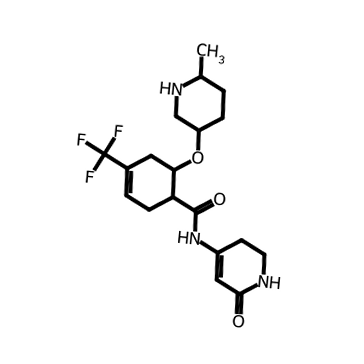 CC1CCC(OC2CC(C(F)(F)F)=CCC2C(=O)NC2=CC(=O)NCC2)CN1